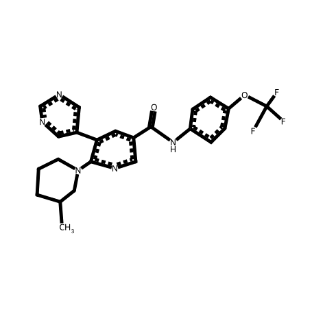 CC1CCCN(c2ncc(C(=O)Nc3ccc(OC(F)(F)F)cc3)cc2-c2cncnc2)C1